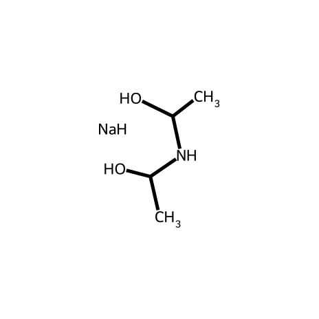 CC(O)NC(C)O.[NaH]